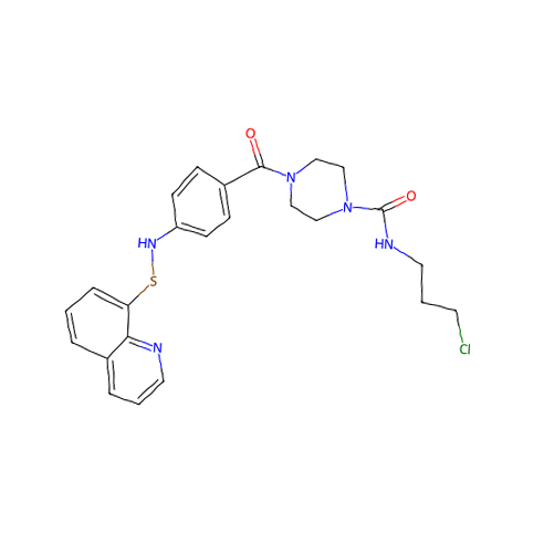 O=C(NCCCCl)N1CCN(C(=O)c2ccc(NSc3cccc4cccnc34)cc2)CC1